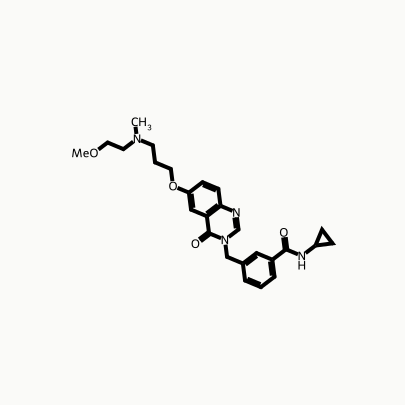 COCCN(C)CCCOc1ccc2ncn(Cc3cccc(C(=O)NC4CC4)c3)c(=O)c2c1